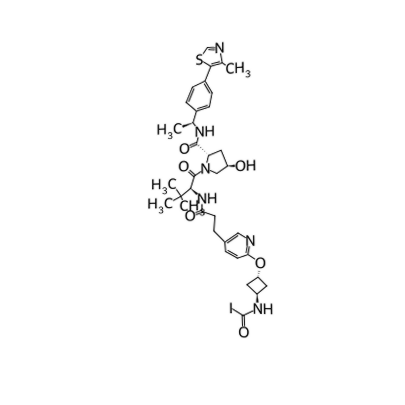 Cc1ncsc1-c1ccc([C@H](C)NC(=O)[C@@H]2C[C@@H](O)CN2C(=O)[C@@H](NC(=O)CCc2ccc(O[C@H]3C[C@H](NC(=O)I)C3)nc2)C(C)(C)C)cc1